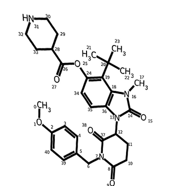 COc1ccc(CN2C(=O)CCC(n3c(=O)n(C)c4c(C(C)(C)C)c(OC(=O)C5CCNCC5)ccc43)C2=O)cc1